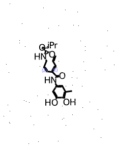 C=C/C=C(\C=C/CNS(=O)(=O)C(C)C)C(=O)Nc1cc(C)c(O)c(O)c1